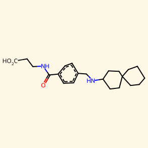 O=C(O)CCNC(=O)c1ccc(CNC2CCC3(CCCCC3)CC2)cc1